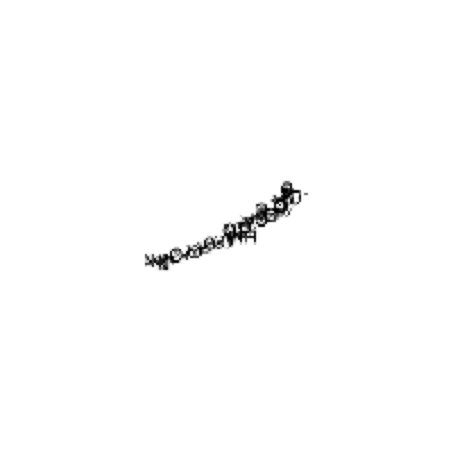 [N-]=[N+]=NCCOCCOCCOCCOC(=O)Nc1ccc(COC(=O)Oc2ccc([N+](=O)[O-])cc2)cc1